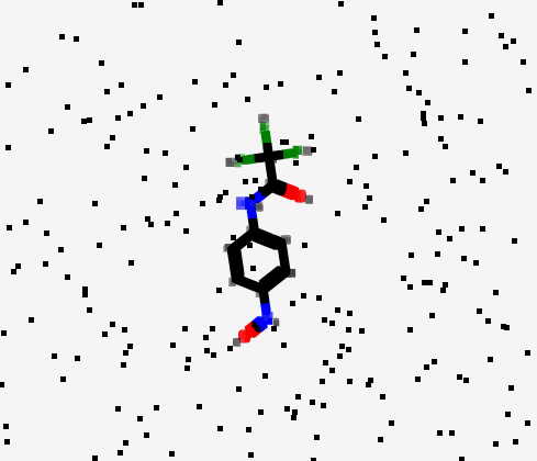 O=Nc1ccc(NC(=O)C(F)(F)F)cc1